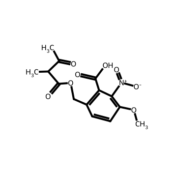 COc1ccc(COC(=O)C(C)C(C)=O)c(C(=O)O)c1[N+](=O)[O-]